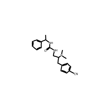 CC(NC(=O)NCC(Cc1ccc(C#N)cc1)N(C)C)c1ccccc1